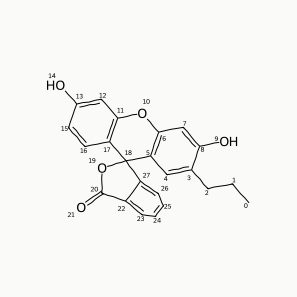 CCCc1cc2c(cc1O)Oc1cc(O)ccc1C21OC(=O)c2ccccc21